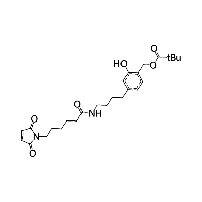 CC(C)(C)C(=O)OCc1ccc(CCCCNC(=O)CCCCCN2C(=O)C=CC2=O)cc1O